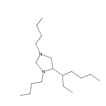 CCCCC(CC)C1CN(CCCC)CN1CCCC